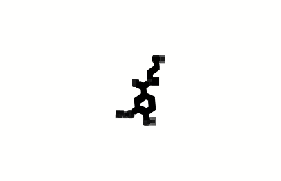 COc1cc(C(=O)NCCO)ccc1O